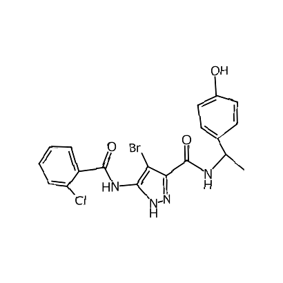 CC(NC(=O)c1n[nH]c(NC(=O)c2ccccc2Cl)c1Br)c1ccc(O)cc1